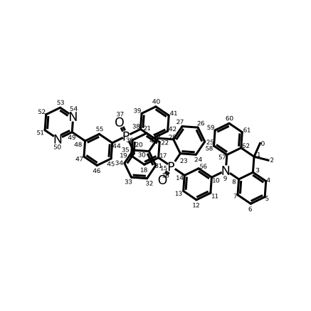 CC1(C)c2ccccc2N(c2cccc(P(=O)(c3ccccc3)c3ccccc3Cc3ccccc3P(=O)(c3ccccc3)c3cccc(-c4ncccn4)c3)c2)c2ccccc21